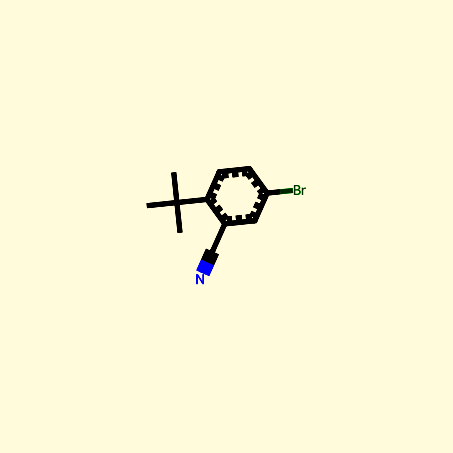 CC(C)(C)c1ccc(Br)cc1C#N